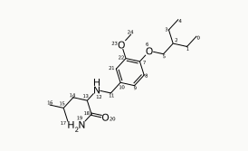 CCC(CC)COc1ccc(CNC(CC(C)C)C(N)=O)cc1OC